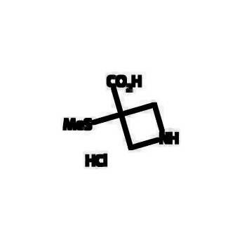 CSC1(C(=O)O)CNC1.Cl